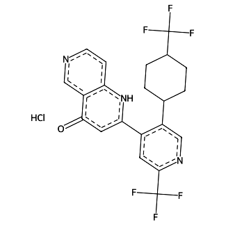 Cl.O=c1cc(-c2cc(C(F)(F)F)ncc2C2CCC(C(F)(F)F)CC2)[nH]c2ccncc12